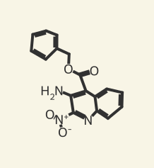 Nc1c([N+](=O)[O-])nc2ccccc2c1C(=O)OCc1ccccc1